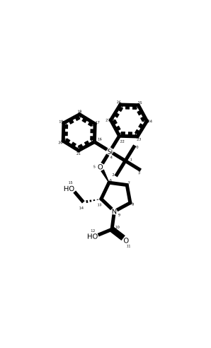 CC(C)(C)[Si](O[C@H]1CCN(C(=O)O)[C@@H]1CO)(c1ccccc1)c1ccccc1